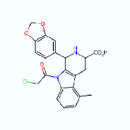 Cc1cccc2c1c1c(n2C(=O)CCl)C(c2ccc3c(c2)OCO3)NC(C(=O)O)C1